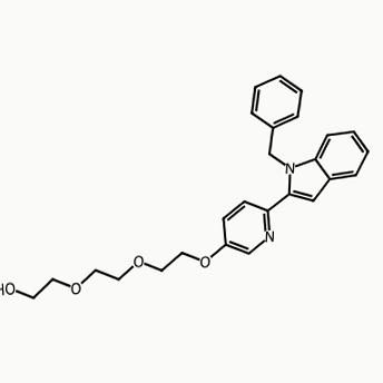 OCCOCCOCCOc1ccc(-c2cc3ccccc3n2Cc2ccccc2)nc1